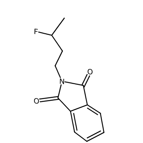 CC(F)CCN1C(=O)c2ccccc2C1=O